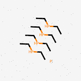 CCPCC.CCPCC.CCPCC.CCPCC.[P]